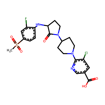 CS(=O)(=O)c1ccc(NC2CCN(C3CCN(c4ncc(C(=O)O)cc4Cl)CC3)C2=O)c(F)c1